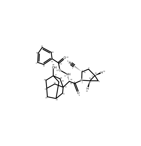 N#C[C@@H]1C[C@@H]2C[C@@H]2N1C(=O)[C@@H](NOC(=O)c1ccccc1)C12CC3CC(CC(O)(C3)C1)C2